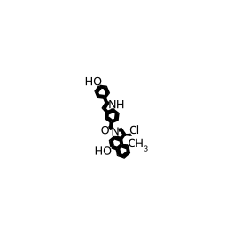 Cc1cccc2c(O)cc3c(c12)[C@H](CCl)CN3C(=O)c1ccc2[nH]c(-c3ccc(O)cc3)cc2c1